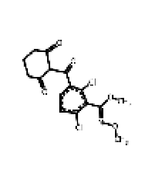 CON=C(OC)c1c(Cl)ccc(C(=O)C2C(=O)CCCC2=O)c1Cl